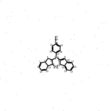 C1=CC2CC3[CH]([Hf+2][CH]4C(=Cc5ccccc54)P3c3ccccc3)C2C=C1.[F-].[F-]